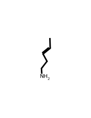 CC=CCCN